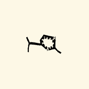 Cc1ncc(C(C)C)s1